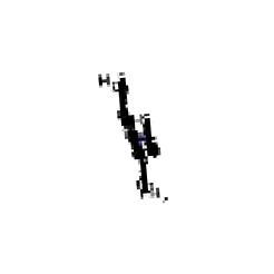 C=CC(=O)OCCCCCCOc1ccc(COc2ccc(OCc3ccc(OCCCCCCOC(=O)C=C)cc3)c(/C=N/N(CCCCCS)c3nc4ccccc4s3)c2)cc1